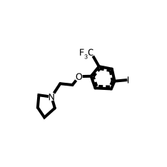 FC(F)(F)c1cc(I)ccc1OCCN1CCCC1